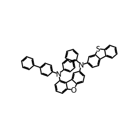 c1ccc(-c2ccc(N(c3ccccc3)c3cccc4oc5ccc(N(c6ccccc6)c6ccc7c(c6)sc6ccccc67)cc5c34)cc2)cc1